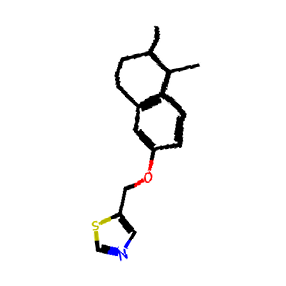 CC1CCc2cc(OCc3cncs3)ccc2C1C